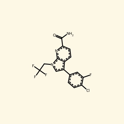 NC(=O)c1ccc2c(-c3ccc(Cl)c(F)c3)cn(CC(F)(F)F)c2n1